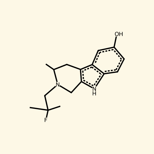 CC1Cc2c([nH]c3ccc(O)cc23)CN1CC(C)(C)F